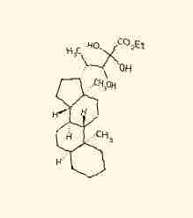 CCOC(=O)C(O)(O)C(O)C(C)[C@H]1CC[C@H]2[C@@H]3CC[C@@H]4CCCC[C@]4(C)[C@H]3CC[C@]12C